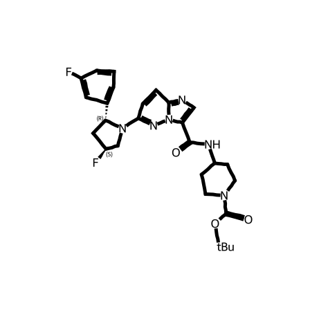 CC(C)(C)OC(=O)N1CCC(NC(=O)c2cnc3ccc(N4C[C@@H](F)C[C@@H]4c4cccc(F)c4)nn23)CC1